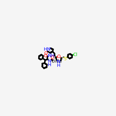 COC(=O)N[C@H](C(=O)Nc1c(CC[C@@H]2CNC[C@@H](CSc3ccc(Cl)cc3)O2)cc[nH]c1=O)C(c1ccccc1)c1ccccc1